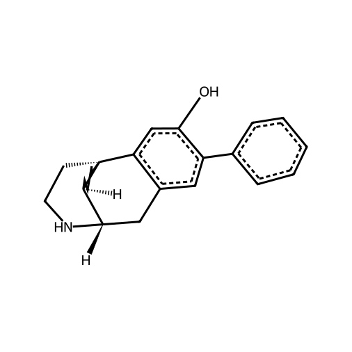 Oc1cc2c(cc1-c1ccccc1)C[C@@H]1NCC[C@]23CCCC[C@H]13